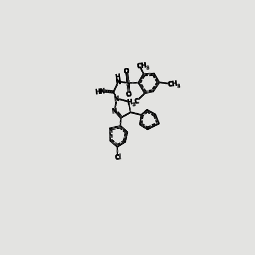 Cc1cc(C)c(S(=O)(=O)NC(=N)N2CC(c3ccccc3)C(c3ccc(Cl)cc3)=N2)c(C)c1